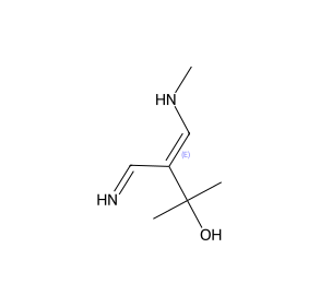 CN/C=C(\C=N)C(C)(C)O